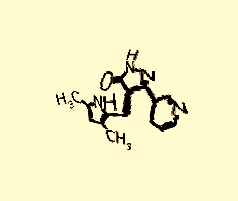 Cc1cc(C)c(C=C2C(=O)NN=C2c2cccnc2)[nH]1